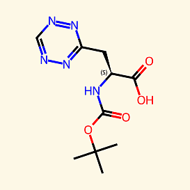 CC(C)(C)OC(=O)N[C@@H](Cc1nncnn1)C(=O)O